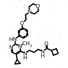 CN1C(NCCCNC(=O)C2CCC2)=C(C2CC2)C=NC1Nc1cccc(OCCN2CCOCC2)c1